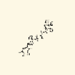 O=C(CCCCCn1sc(Cl)c(Cl)c1=O)OCc1ccccc1